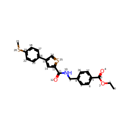 CCOC(=O)c1ccc(CNC(=O)c2cc(-c3ccc(SC)cc3)cs2)cc1